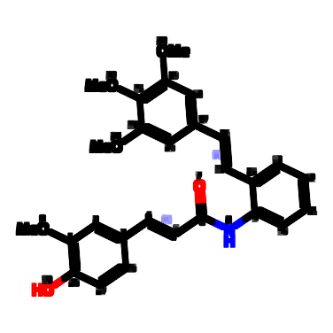 COc1cc(/C=C/C(=O)Nc2ccccc2/C=C/c2cc(OC)c(OC)c(OC)c2)ccc1O